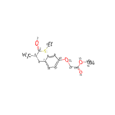 CCSC(=O)C(C)Cc1ccc(OCC(=O)OC(C)(C)C)cc1